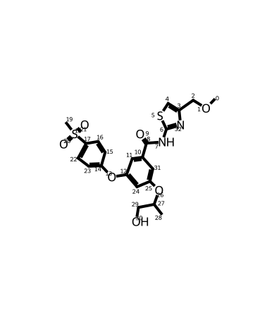 COCc1csc(NC(=O)c2cc(Oc3ccc(S(C)(=O)=O)cc3)cc(OC(C)CO)c2)n1